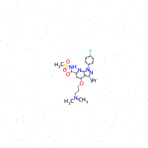 CC(C)c1nn(-c2ccc(F)cc2)c2nc(C(=O)NS(C)(=O)=O)cc(OCCCN(C)C)c12